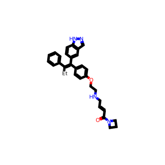 CCC(=C(c1ccc(OCCNCC=CC(=O)N2CCC2)cc1)c1ccc2[nH]ncc2c1)c1ccccc1